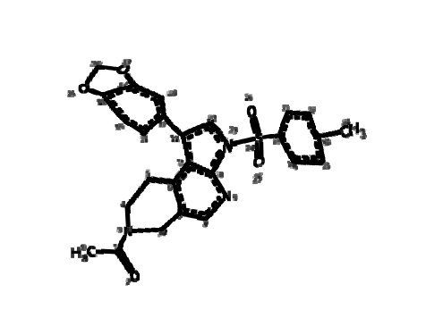 CC(=O)N1CCc2c(cnc3c2c(-c2ccc4c(c2)OCO4)cn3S(=O)(=O)c2ccc(C)cc2)C1